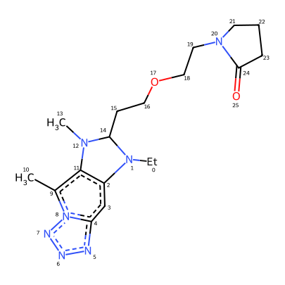 CCN1c2cc3nnnn3c(C)c2N(C)C1CCOCCN1CCCC1=O